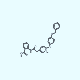 COC(=O)c1ccccc1NC(=O)CC1=CN(C)C(Oc2ccc(OCc3ccccc3)cc2)C=C1